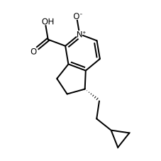 O=C(O)c1c2c(cc[n+]1[O-])[C@H](CCC1CC1)CC2